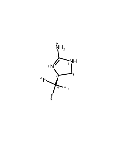 NC1=N[C@H](C(F)(F)F)CN1